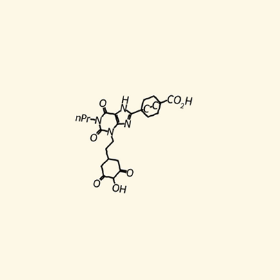 CCCn1c(=O)c2[nH]c(C34CCC(C(=O)O)(CC3)CC4)nc2n(CCC2CC(=O)C(O)C(=O)C2)c1=O